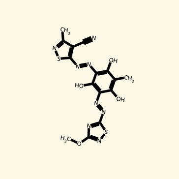 COc1nsc(/N=N/c2c(O)c(C)c(O)c(/N=N/c3snc(C)c3C#N)c2O)n1